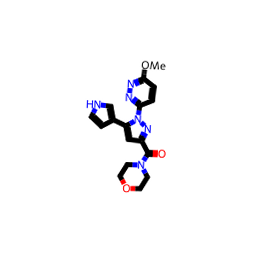 COc1ccc(-n2nc(C(=O)N3CCOCC3)cc2-c2cc[nH]c2)nn1